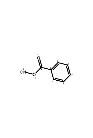 O=NOC(=O)c1ccccc1